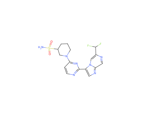 NS(=O)(=O)C1CCCN(c2ccnc(-c3cnc4cnc(C(F)F)cn34)n2)C1